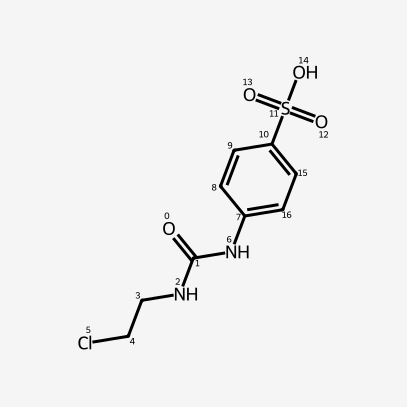 O=C(NCCCl)Nc1ccc(S(=O)(=O)O)cc1